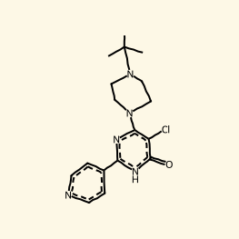 CC(C)(C)N1CCN(c2nc(-c3ccncc3)[nH]c(=O)c2Cl)CC1